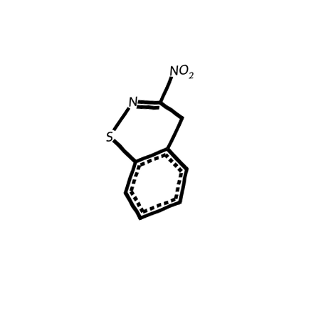 O=[N+]([O-])C1=NSc2ccccc2C1